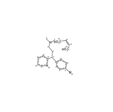 CN(C)CCC(c1ccc(Br)cc1)c1ccccn1.O=C(O)/C=C\C(=O)O